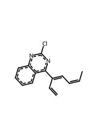 C=C/C(=C\C=C/C)c1nc(Cl)nc2ccccc12